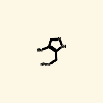 CCCCCCc1[nH]ncc1C(C)(C)C